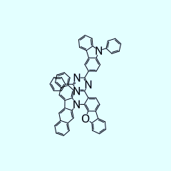 c1ccc(-c2nc(-c3ccc4c(c3)c3ccccc3n4-c3ccccc3)nc(-c3ccc4c(oc5ccccc54)c3-n3c4cc5ccccc5cc4c4cc5ccccc5cc43)n2)cc1